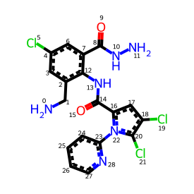 NCc1cc(Cl)cc(C(=O)NN)c1NC(=O)c1cc(Cl)c(Cl)n1-c1ccccn1